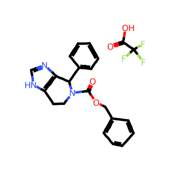 O=C(O)C(F)(F)F.O=C(OCc1ccccc1)N1CCc2[nH]cnc2C1c1ccccc1